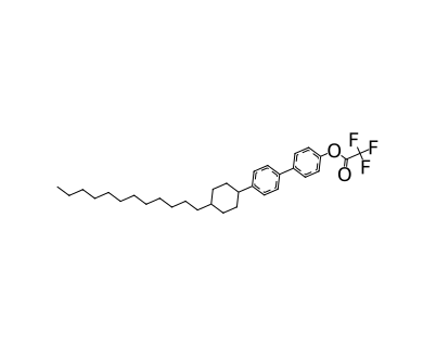 CCCCCCCCCCCCC1CCC(c2ccc(-c3ccc(OC(=O)C(F)(F)F)cc3)cc2)CC1